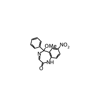 COC1(c2ccccc2)N=CC(=O)Nc2ccc([N+](=O)[O-])cc21